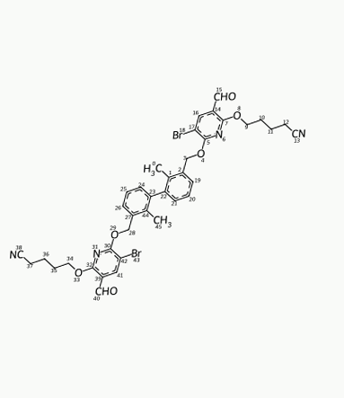 Cc1c(COc2nc(OCCCCC#N)c(C=O)cc2Br)cccc1-c1cccc(COc2nc(OCCCCC#N)c(C=O)cc2Br)c1C